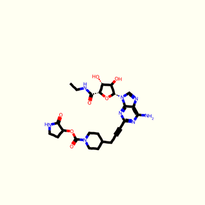 CCNC(=O)[C@H]1O[C@@H](n2cnc3c(N)nc(C#CCC4CCN(C(=O)OC5CCNC5=O)CC4)nc32)C(O)[C@H]1O